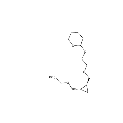 O=C(O)COC[C@@H]1C[C@@H]1COCCOC1CCCCO1